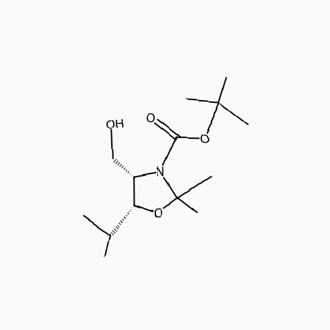 CC(C)[C@H]1OC(C)(C)N(C(=O)OC(C)(C)C)[C@H]1CO